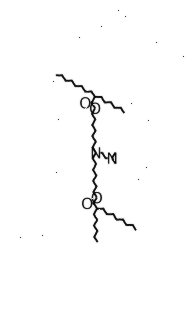 CCCCCCCCC(CCCCCC)C(=O)OCCCCCCCN(CCCCCCCOC(=O)C(CCCCCC)CCCCCCCC)CCN(C)C